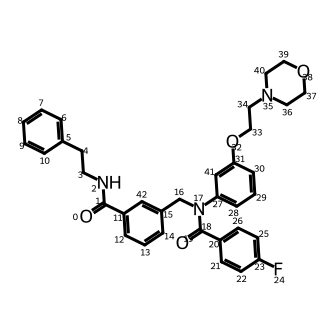 O=C(NCCc1ccccc1)c1cccc(CN(C(=O)c2ccc(F)cc2)c2cccc(OCCN3CCOCC3)c2)c1